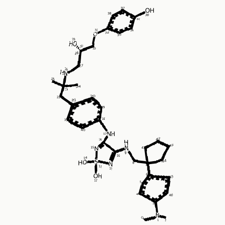 CN(C)c1ccc(C2(CNC3=NS(O)(O)N=C3Nc3ccc(CC(C)(C)NC[C@H](O)COc4ccc(O)cc4)cc3)CCCC2)cc1